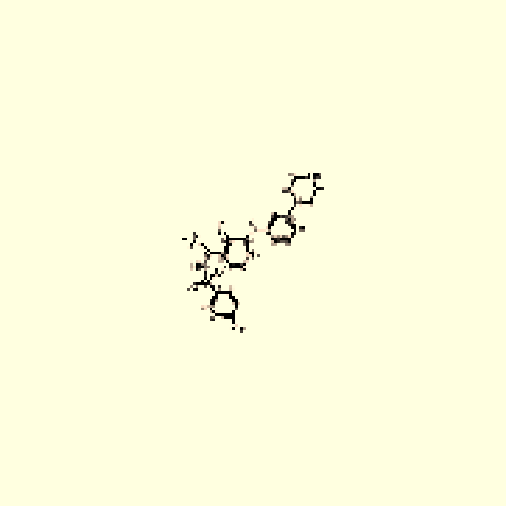 CCc1ccc(S(=O)(=O)NC(C)c2ccnc(Oc3cccc(N4CCOCC4)c3)c2CC)cc1